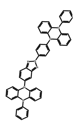 c1ccc(N2c3ccccc3N(c3ccc(-n4nc5ccc(N6c7ccccc7N(c7ccccc7)c7ccccc76)cc5n4)cc3)c3ccccc32)cc1